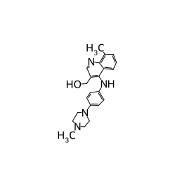 Cc1cccc2c(Nc3ccc(N4CCN(C)CC4)cc3)c(CO)cnc12